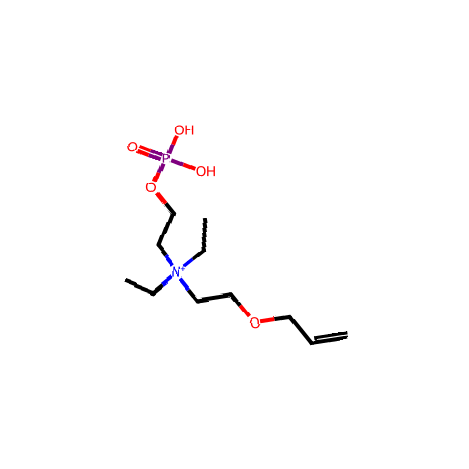 C=CCOCC[N+](CC)(CC)CCOP(=O)(O)O